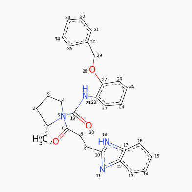 C[C@@H]1CCC[N+]1(C(=O)CCc1nc2ccccc2[nH]1)C(=O)Nc1ccccc1OCc1ccccc1